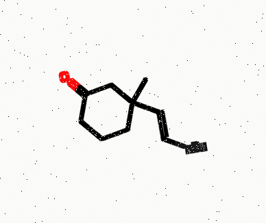 CCCCC=CC1(C)CCCC(=O)C1